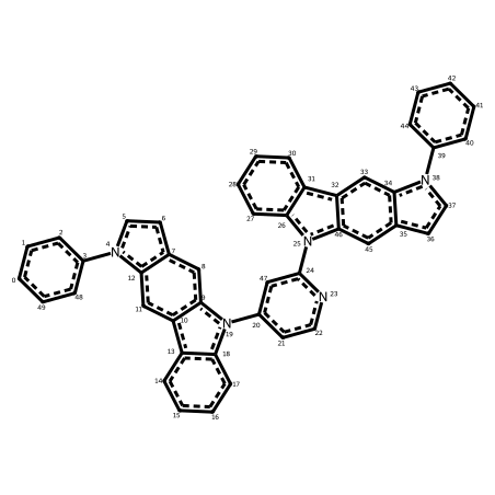 c1ccc(-n2ccc3cc4c(cc32)c2ccccc2n4-c2ccnc(-n3c4ccccc4c4cc5c(ccn5-c5ccccc5)cc43)c2)cc1